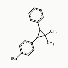 CC(C)(C)c1ccc([C]2C(c3ccccc3)C2(C)C)cc1